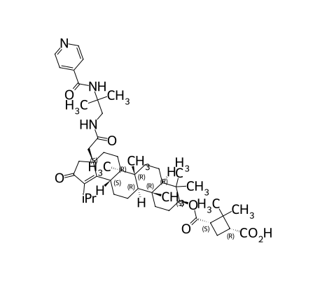 CC(C)C1=C2[C@H]3CC[C@@H]4[C@@]5(C)CC[C@H](OC(=O)[C@H]6C[C@@H](C(=O)O)C6(C)C)C(C)(C)[C@@H]5CC[C@@]4(C)[C@]3(C)CC[C@@]2(CC(=O)NCC(C)(C)NC(=O)c2ccncc2)CC1=O